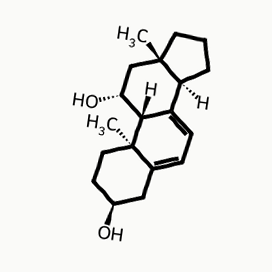 C[C@@]12CCC[C@H]1C1=CC=C3C[C@@H](O)CC[C@@]3(C)[C@@H]1[C@H](O)C2